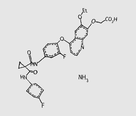 CCOc1cc2c(Oc3ccc(NC(=O)C4(C(=O)Nc5ccc(F)cc5)CC4)cc3F)ccnc2cc1OCC(=O)O.N